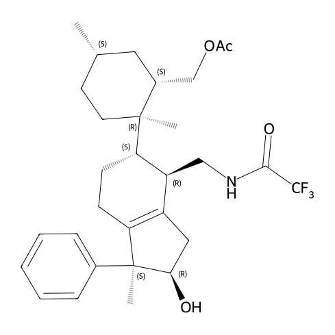 CC(=O)OC[C@H]1C[C@@H](C)CC[C@]1(C)[C@H]1CCC2=C(C[C@@H](O)[C@@]2(C)c2ccccc2)[C@@H]1CNC(=O)C(F)(F)F